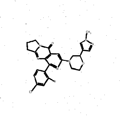 Cn1cc(C2CN(c3cc4c(=O)n5c(nc4c(-c4ccc(Cl)cc4F)n3)CCC5)CCO2)cn1